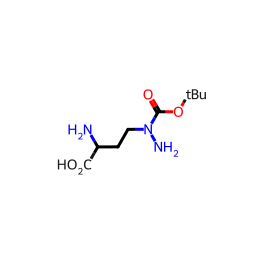 CC(C)(C)OC(=O)N(N)CCC(N)C(=O)O